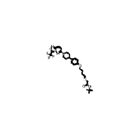 CC(C)(C)OC(=O)COCCCCOc1ccc(C2CCN(c3ccc4nnc(C(F)(F)F)n4n3)CC2)cc1